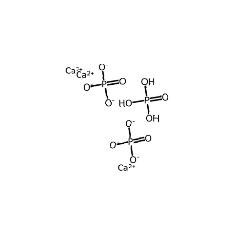 O=P(O)(O)O.O=P([O-])([O-])[O-].O=P([O-])([O-])[O-].[Ca+2].[Ca+2].[Ca+2]